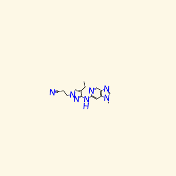 CCc1cn(CCC#N)nc1Nc1cc2c(cn1)ncn2C